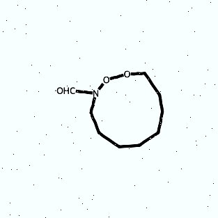 O=[C]N1CCCCCCCCOO1